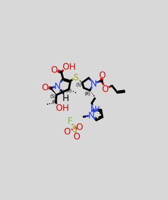 C=CCOC(=O)N1C[C@@H](SC2=C(C(=O)O)N3C(=O)[C@H]([C@@H](C)O)[C@H]3[C@H]2C)C[C@H]1CC[n+]1cccn1C.O=S(=O)([O-])F